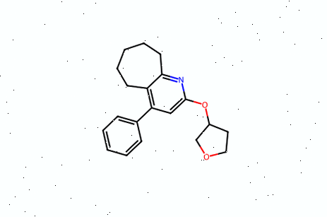 c1ccc(-c2cc(OC3CCOC3)nc3c2CCCCC3)cc1